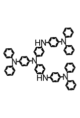 c1ccc(N(c2ccccc2)c2ccc(Nc3ccc(N(c4ccc(Nc5ccc(N(c6ccccc6)c6ccccc6)cc5)cc4)c4ccc(N(c5ccccc5)c5ccccc5)cc4)cc3)cc2)cc1